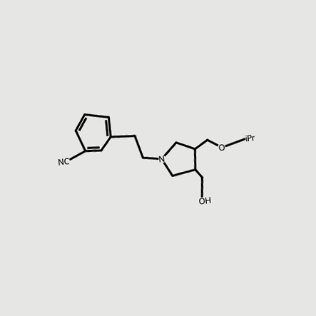 CC(C)OCC1CN(CCc2cccc(C#N)c2)CC1CO